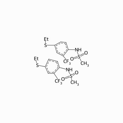 CCSc1ccc(NS(C)(=O)=O)c(C(F)(F)F)c1.CCSc1ccc(NS(C)(=O)=O)c(C(F)(F)F)c1